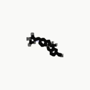 N#Cc1ccc(Cn2ccc3cc(/C=C4\SC(=O)NC4=O)ccc32)c(C(F)(F)F)c1